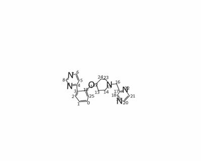 c1ccc(-c2ccncn2)c(OC2CCN(Cc3cnccn3)CC2)c1